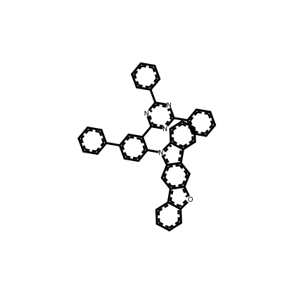 c1ccc(-c2ccc(-n3c4ccccc4c4cc5oc6ccccc6c5cc43)c(-c3nc(-c4ccccc4)nc(-c4ccccc4)n3)c2)cc1